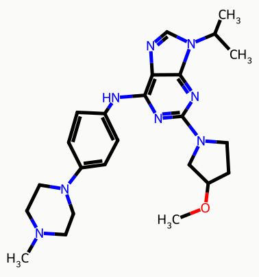 COC1CCN(c2nc(Nc3ccc(N4CCN(C)CC4)cc3)c3ncn(C(C)C)c3n2)C1